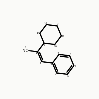 N#CC(=Cc1ccccc1)C1CCCCC1